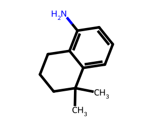 CC1(C)CCCc2c(N)cccc21